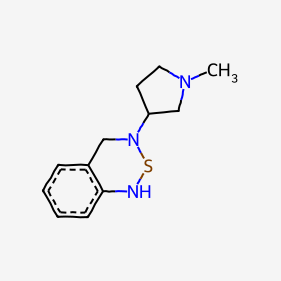 CN1CCC(N2Cc3ccccc3NS2)C1